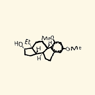 CC[C@]12CC[C@@H]3c4c(cc(OC)cc4OC)CC[C@H]3[C@@H]1CC[C@@H]2O